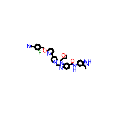 Cc1n[nH]c2ccc(NC(=O)c3ccc4nc(CN5CC=C(c6cccc(OCc7ccc(C#N)cc7F)n6)CC5)n(CC5CCO5)c4c3)cc12